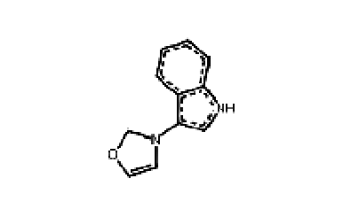 [CH]1OC=CN1c1c[nH]c2ccccc12